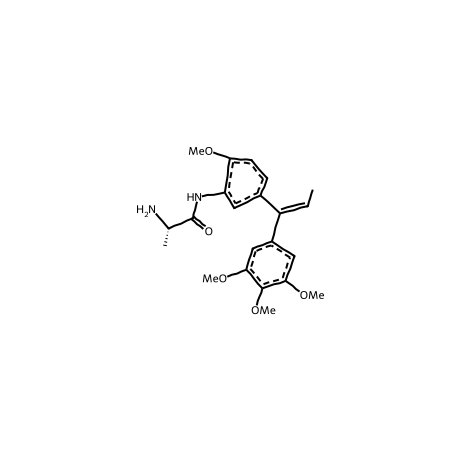 C/C=C(\c1ccc(OC)c(NC(=O)[C@H](C)N)c1)c1cc(OC)c(OC)c(OC)c1